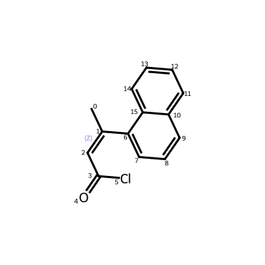 C/C(=C/C(=O)Cl)c1cccc2ccccc12